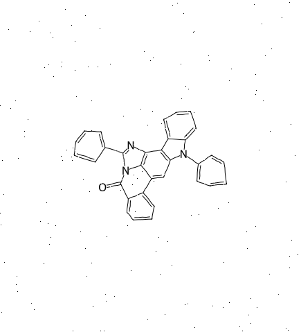 O=c1c2ccccc2c2cc3c(c4ccccc4n3-c3ccccc3)c3nc(-c4ccccc4)n1c23